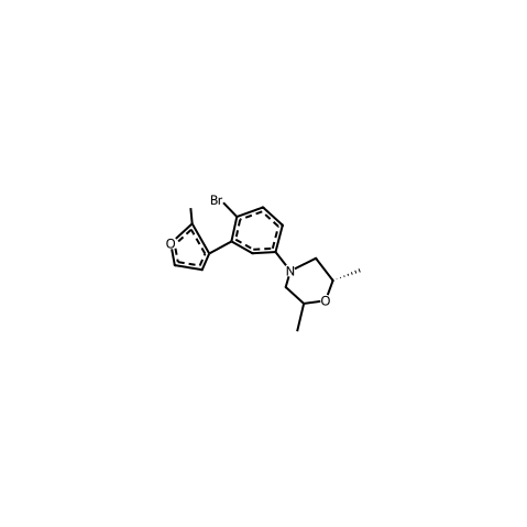 Cc1occc1-c1cc(N2CC(C)O[C@@H](C)C2)ccc1Br